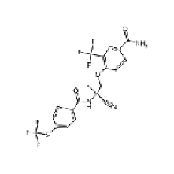 CC(C#N)(COc1ccc(C(N)=O)cc1C(F)(F)F)NC(=O)c1ccc(SC(F)(F)F)cc1